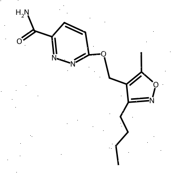 CCCCc1noc(C)c1COc1ccc(C(N)=O)nn1